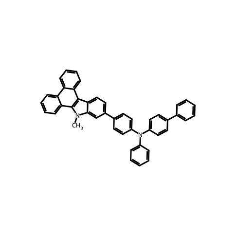 Cn1c2cc(-c3ccc(N(c4ccccc4)c4ccc(-c5ccccc5)cc4)cc3)ccc2c2c3ccccc3c3ccccc3c21